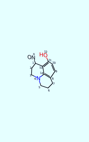 O=NC1CCN2CCCc3ccc(O)c1c32